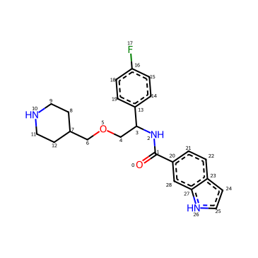 O=C(NC(COCC1CCNCC1)c1ccc(F)cc1)c1ccc2cc[nH]c2c1